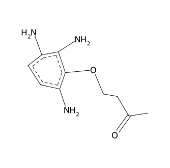 CC(=O)CCOc1c(N)ccc(N)c1N